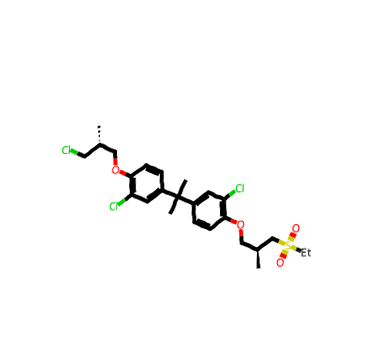 CCS(=O)(=O)C[C@@H](C)COc1ccc(C(C)(C)c2ccc(OC[C@@H](C)CCl)c(Cl)c2)cc1Cl